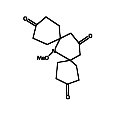 CON1C2(CCC(=O)CC2)CC(=O)CC12CCC(=O)CC2